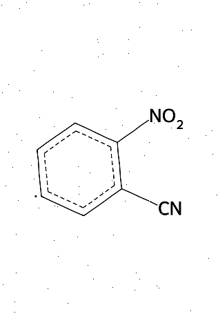 N#Cc1c[c]ccc1[N+](=O)[O-]